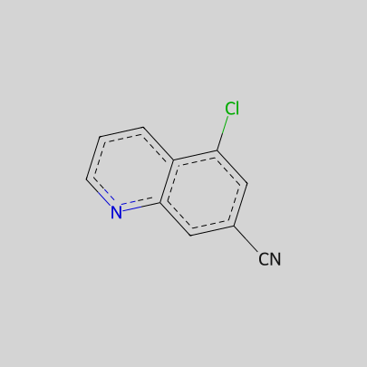 N#Cc1cc(Cl)c2cccnc2c1